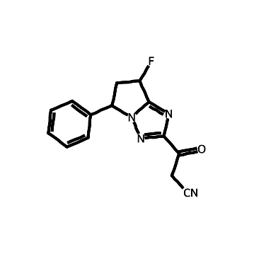 N#CCC(=O)c1nc2n(n1)C(c1ccccc1)CC2F